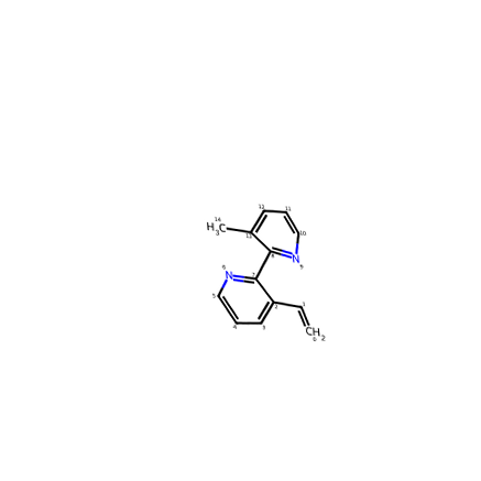 C=Cc1cccnc1-c1ncccc1C